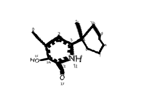 Cc1cc(C2(C)CCCCC2)[nH]c(=O)c1O